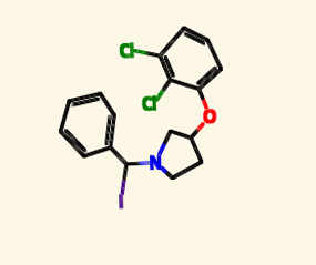 Clc1cccc(OC2CCN(C(I)c3ccccc3)C2)c1Cl